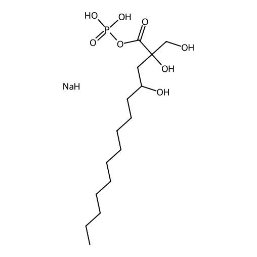 CCCCCCCCCCC(O)CC(O)(CO)C(=O)OP(=O)(O)O.[NaH]